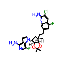 CC1(C)O[C@H]2[C@H](n3ccc4c(N)ncc(F)c43)C[C@](C)(CCc3cc(F)c4cc(Cl)c(N)nc4c3)[C@H]2O1